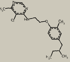 CCC(C)Cc1ccc(OCCNc2ncnc(C)c2Cl)c(C)c1